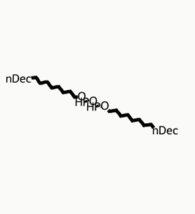 CCCCCCCCCCCCCCCCCCOPOPOCCCCCCCCCCCCCCCCCC